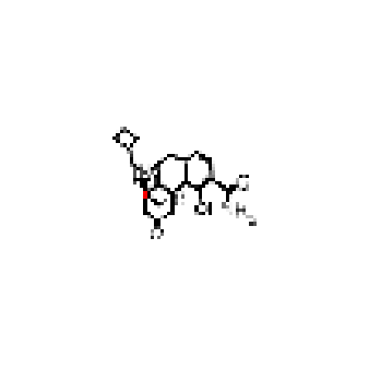 NC(=O)c1ccc2c(c1O)[C@]13CCN(CC4CCC4)C(C2)C1(O)CCC(=O)C3